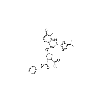 COC(=O)[C@@H]1C[C@@H](Oc2cc(-c3nc(C(C)C)cs3)nc3c(C)c(OC)ccc23)C[C@H]1C(=O)OCc1ccccc1